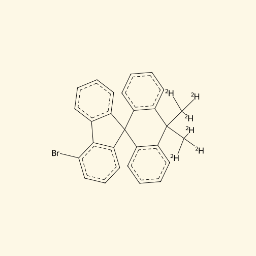 [2H]C([2H])([2H])C1(C([2H])([2H])[2H])c2ccccc2C2(c3ccccc3-c3c(Br)cccc32)c2ccccc21